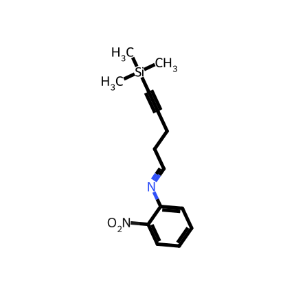 C[Si](C)(C)C#CCC/C=N/c1ccccc1[N+](=O)[O-]